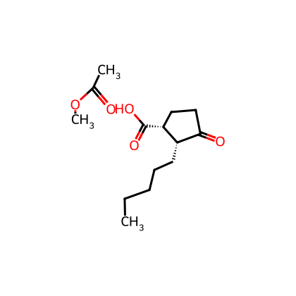 CCCCC[C@H]1C(=O)CC[C@H]1C(=O)O.COC(C)=O